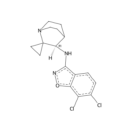 Clc1ccc2c(N[C@@H]3C4CCN(CC4)C34CC4)noc2c1Cl